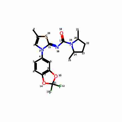 Cc1cn(-c2ccc3c(c2)OC(F)(F)O3)/c(=N/C(=O)N2C(C)CCC2C)s1